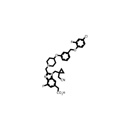 N#CCC1(Cn2c(CN3CCC(Oc4cccc(COc5ccc(Cl)cc5F)c4)CC3)nc3c(F)cc(CC(=O)O)cc32)CC1